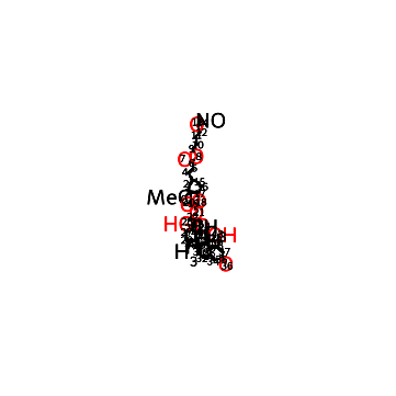 COc1cc(/C=C/C(=O)OCCCCON=O)ccc1OC(=O)OCC(=O)[C@@]1(O)CC[C@H]2[C@@H]3CCC4=CC(=O)C=C[C@]4(C)[C@H]3[C@@H](O)C[C@@]21C